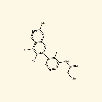 Cc1c(NC(=O)OC(C)(C)C)cncc1-c1cc2cc(N)ncc2c(Cl)c1C#N